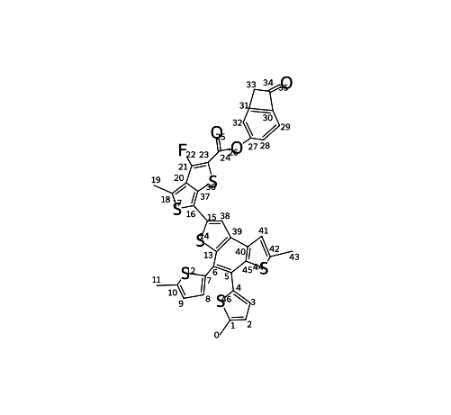 Cc1ccc(-c2c(-c3ccc(C)s3)c3sc(-c4sc(C)c5c(F)c(C(=O)Oc6ccc7c(c6)CC7=O)sc45)cc3c3cc(C)sc23)s1